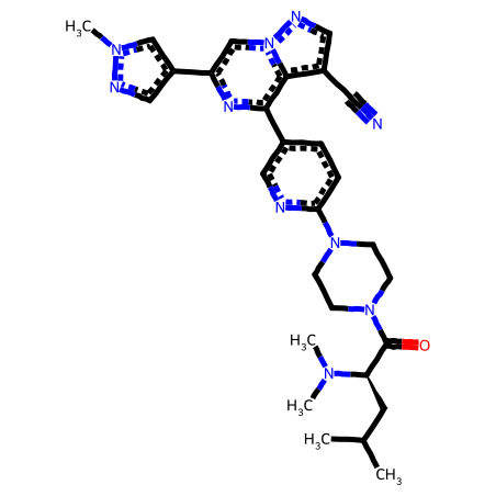 CC(C)C[C@H](C(=O)N1CCN(c2ccc(-c3nc(-c4cnn(C)c4)cn4ncc(C#N)c34)cn2)CC1)N(C)C